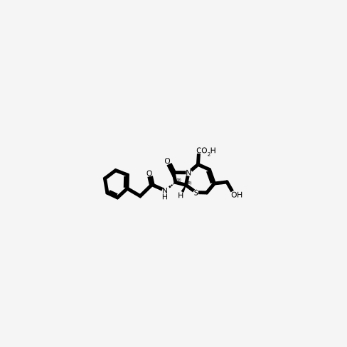 O=C(CC1=CCCC=C1)N[C@@H]1C(=O)N2C(C(=O)O)C=C(CO)CS[C@H]12